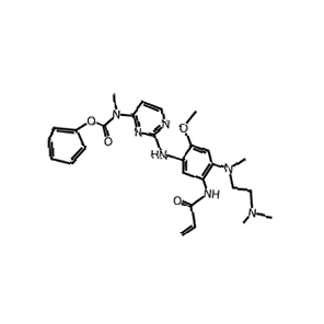 C=CC(=O)Nc1cc(Nc2nccc(N(C)C(=O)Oc3ccccc3)n2)c(OC)cc1N(C)CCN(C)C